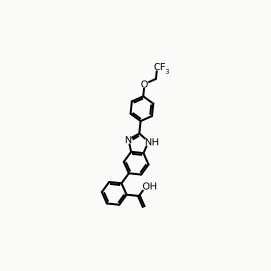 C=C(O)c1ccccc1-c1ccc2[nH]c(-c3ccc(OCC(F)(F)F)cc3)nc2c1